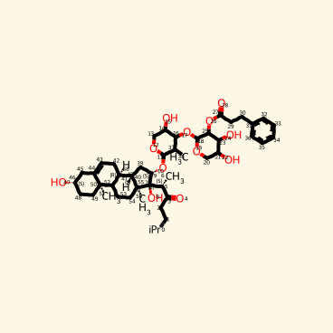 CC(C)CCC(=O)[C@@H](C)[C@@]1(O)[C@@H](OC2OCC(O)C(OC3OCC(O)C(O)C3OC(=O)CCc3ccccc3)C2C)C[C@H]2[C@@H]3CC=C4C[C@@H](O)CC[C@]4(C)C3CC[C@@]21C